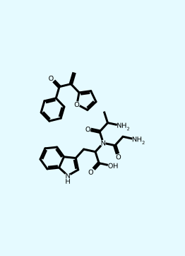 C=C(C(=O)c1ccccc1)c1ccco1.CC(N)C(=O)N(C(=O)CN)C(Cc1c[nH]c2ccccc12)C(=O)O